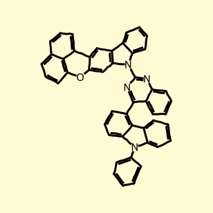 c1ccc(-n2c3ccccc3c3c(-c4nc(-n5c6ccccc6c6cc7c(cc65)Oc5cccc6cccc-7c56)nc5ccccc45)cccc32)cc1